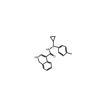 O=C(N[C@H](c1ccc(F)cc1)C1CC1)C1=CNCc2ccccc21